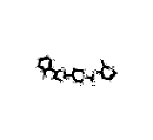 Cc1ncccc1OC(=O)N1CCC(c2ncc(-c3ccccc3F)o2)CC1